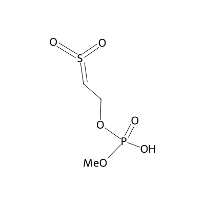 COP(=O)(O)OCC=S(=O)=O